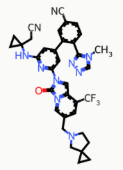 Cn1cnnc1-c1ccc(C#N)cc1-c1cc(NC2(CC#N)CC2)nc(-n2cc3c(C(F)(F)F)cc(CN4CCC5(CC5)C4)cn3c2=O)c1